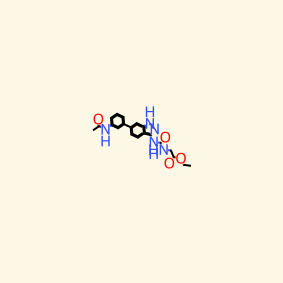 CCOC(=O)CNC(=O)Nc1n[nH]c2cc(-c3cccc(NC(C)=O)c3)ccc12